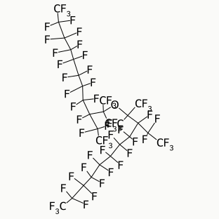 FC(F)(F)C(F)(F)C(F)(F)C(F)(F)C(F)(F)C(F)(F)C(F)(F)C(F)(F)C(F)(C(F)(F)C(F)(F)F)C(OC(C(F)(F)F)(C(F)(F)F)C(F)(C(F)(F)C(F)(F)F)C(F)(F)C(F)(F)C(F)(F)C(F)(F)C(F)(F)C(F)(F)C(F)(F)C(F)(F)F)(C(F)(F)F)C(F)(F)F